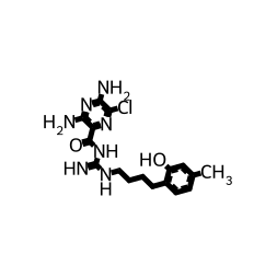 Cc1ccc(CCCCNC(=N)NC(=O)c2nc(Cl)c(N)nc2N)c(O)c1